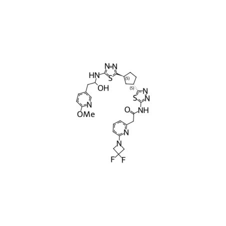 COc1ccc(CC(O)Nc2nnc([C@H]3CC[C@H](c4nnc(NC(=O)Cc5cccc(N6CC(F)(F)C6)n5)s4)C3)s2)cn1